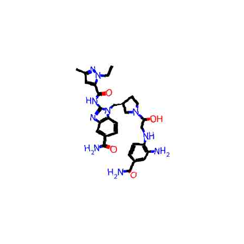 CCn1nc(C)cc1C(=O)Nc1nc2cc(C(N)=O)ccc2n1C[C@H]1CCN(C(O)CNc2ccc(C(N)=O)cc2N)C1